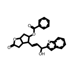 O=C1CC2C(CC(OC(=O)c3ccccc3)C2C=CC(O)c2cc3ccccc3s2)O1